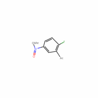 CO[N+](=O)c1ccc(F)c(C(C)=O)c1